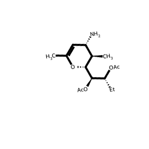 CC[C@@H](OC(C)=O)[C@@H](OC(C)=O)[C@@H]1OC(C)=C[C@H](N)[C@H]1C